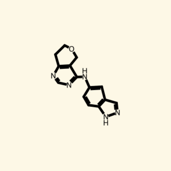 c1nc2c(c(Nc3ccc4[nH]ncc4c3)n1)COCC2